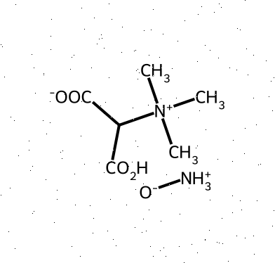 C[N+](C)(C)C(C(=O)[O-])C(=O)O.[NH3+][O-]